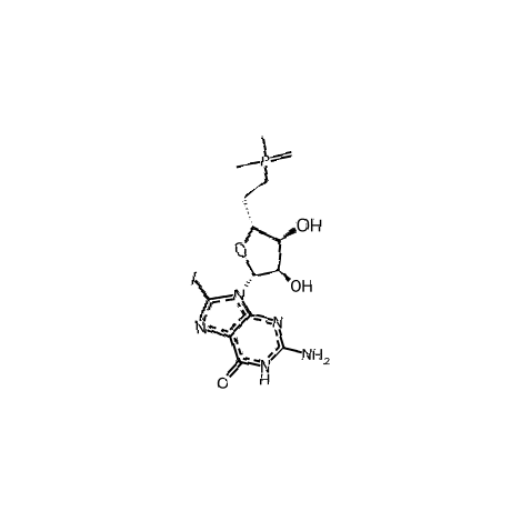 C=P(C)(C)CC[C@H]1O[C@@H](n2c(I)nc3c(=O)[nH]c(N)nc32)[C@H](O)[C@@H]1O